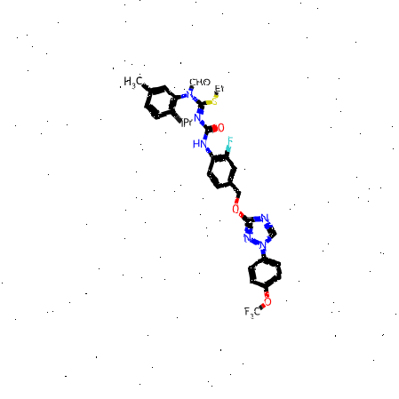 CCS/C(=N\C(=O)Nc1ccc(COc2ncn(-c3ccc(OC(F)(F)F)cc3)n2)cc1F)N(C=O)c1cc(C)ccc1C(C)C